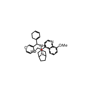 COc1cccc2c(C(CO)N3C4CCC3CC(NC(C3=CC=CCC3)C3=COC=CO3)C4)ccnc12